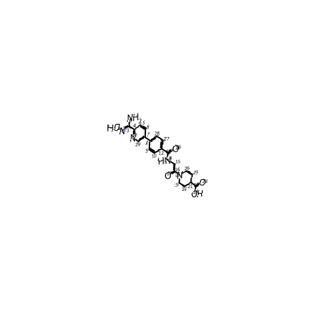 N/C(=N\O)c1ccc(-c2ccc(C(=O)NCC(=O)N3CCC(C(=O)O)CC3)cc2)cn1